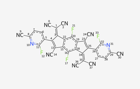 N#CC(C#N)=C1C(c2ccc(C#N)nc2F)=C(C#N)c2c(F)c3c(c(F)c21)C(C#N)=C(c1ccc(C#N)nc1F)C3=C(C#N)C#N